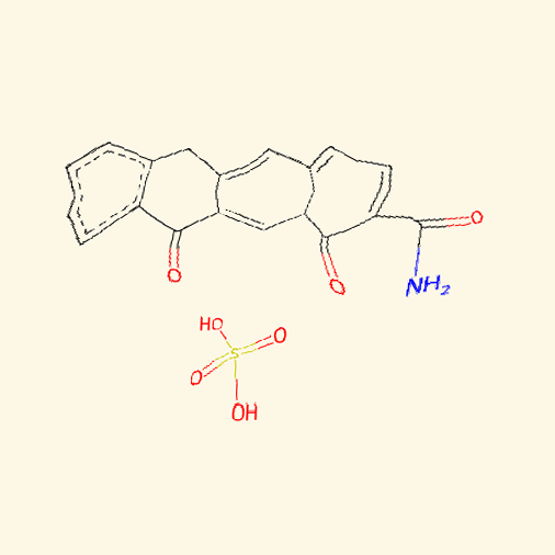 NC(=O)C1=CC=C2C=C3Cc4ccccc4C(=O)C3=CC2C1=O.O=S(=O)(O)O